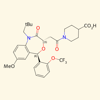 COc1ccc2c(c1)[C@H](c1ccccc1OC(F)(F)F)O[C@@H](CC(=O)N1CCC(C(=O)O)CC1)C(=O)N2CC(C)(C)C